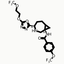 O=C(N[C@@]12CN[C@@H](c3nnc(OCCOC(F)(F)F)o3)CCC1C2)c1ccc(OC(F)(F)F)cc1